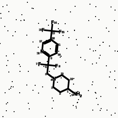 NC1CCN(CC(F)(F)c2ccc(C(F)(F)F)cn2)CC1